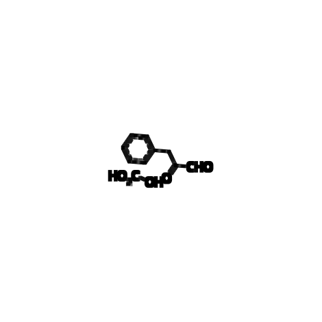 O=C(O)O.O=CC(=O)Cc1ccccc1